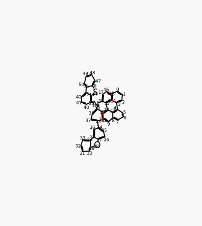 c1ccc(-c2cccc3cccc(-c4ccccc4N(c4ccc(-c5ccc6oc7ccccc7c6c5)cc4)c4cccc5c4sc4ccccc45)c23)cc1